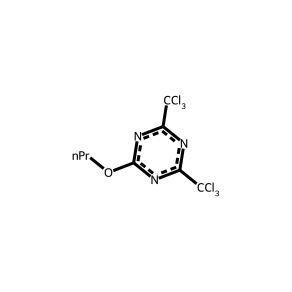 CCCOc1nc(C(Cl)(Cl)Cl)nc(C(Cl)(Cl)Cl)n1